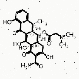 C[C@H]1c2cccc(O)c2C(=O)C2=C(O)[C@]3(O)C(=O)C(C(N)=O)=C(O)C[C@@H]3[C@@H](OC(=O)CN(C)C)[C@@H]21